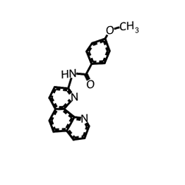 COc1ccc(C(=O)Nc2ccc3ccc4cccnc4c3n2)cc1